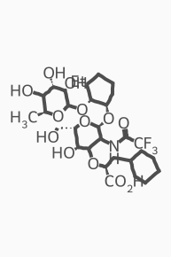 CCC1CCC[C@@H](O[C@@H]2O[C@@H](CO)[C@H](O)C(O[C@@H](CC3CCCCC3)C(=O)O)C2NC(=O)C(F)(F)F)[C@@H]1OC1O[C@@H](C)C(O)[C@H](O)[C@@H]1O